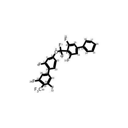 Fc1cc(OC(F)(F)c2c(F)cc(-c3ccccc3)cc2F)ccc1-c1cc(F)c(C(F)(F)F)c(F)c1